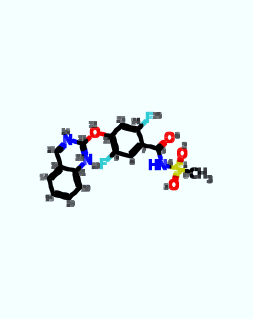 CS(=O)(=O)NC(=O)c1cc(F)c(Oc2ncc3ccccc3n2)cc1F